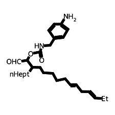 CC/C=C/C/C=C/CCCCCC(CCCCCCC)C(C=O)OC(=O)NCc1ccc(N)cc1